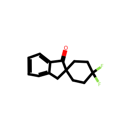 O=C1c2ccccc2CC12CCC(F)(F)CC2